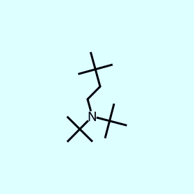 CC(C)(C)CCN(C(C)(C)C)C(C)(C)C